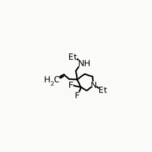 C=CCC1(CNCC)CCN(CC)CC1(F)F